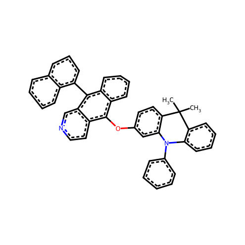 CC1(C)c2ccccc2N(c2ccccc2)c2cc(Oc3c4ccccc4c(-c4cccc5ccccc45)c4cnccc34)ccc21